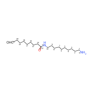 NCCCCCCCCCCNC(=O)CCCCCCCC=O